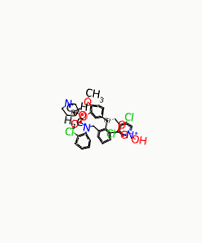 COc1ccc([C@H](Cc2c(Cl)c[n+](O)cc2Cl)c2c(CN(C(=O)O[C@H]3CN4CCC3CC4)c3ccccc3Cl)cccc2C(=O)[O-])cc1OC